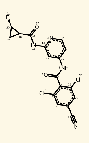 N#Cc1cc(Cl)c(C(=O)Nc2ccnc(NC(=O)[C@H]3C[C@H]3F)c2)c(Cl)c1